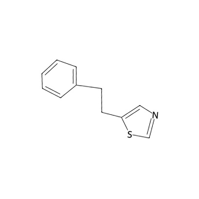 c1ccc(CCc2cncs2)cc1